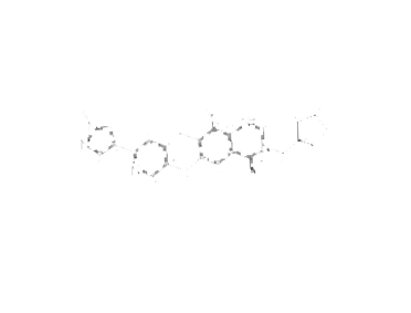 Cc1c(Cc2ccc(-c3cnn(C)c3)nc2)cc2c(=O)n(CC3CCCO3)cnc2c1Cl